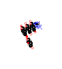 C[C@]12C=CC(=O)C=C1CC[C@@H]1[C@@H]2CC[C@]2(C)OC(=O)CC[C@@H]12.C[C@]12C=CC(=O)C=C1CC[C@@H]1[C@@H]2CC[C@]2(C)OC(=O)CC[C@@H]12.C[C@]12C=CC(=O)C=C1CC[C@@H]1[C@@H]2CC[C@]2(C)OC(=O)CC[C@@H]12.C[C@]12C=CC(=O)C=C1CC[C@@H]1[C@@H]2CC[C@]2(C)OC(=O)CC[C@@H]12.Nc1nc2nc[nH]c2c(=S)[nH]1